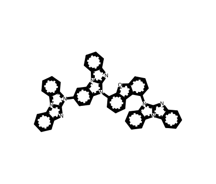 c1ccc2c(c1)nc1n(-c3ccc4c(c3)n3c5ccccc5nc3n4-c3cccc4c3oc3cccc(-n5c6ccccc6n6c7ccccc7nc56)c34)c3ccccc3n21